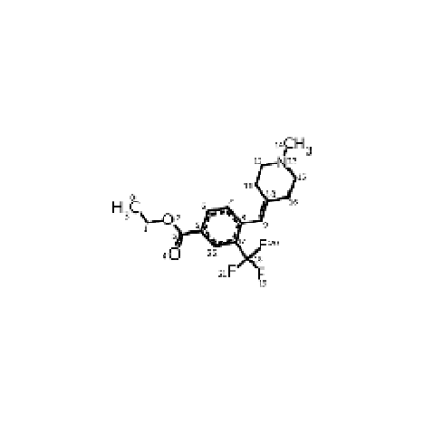 CCOC(=O)c1ccc(C=C2CCN(C)CC2)c(C(F)(F)F)c1